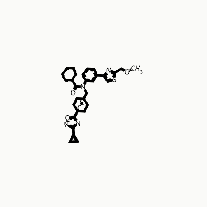 COCc1nc(-c2cccc(N(CC34CCC(c5nc(C6CC6)no5)(CC3)CC4)C(=O)C3CCCCC3)c2)cs1